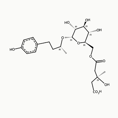 C[C@H](CCc1ccc(O)cc1)O[C@H]1O[C@H](COC(=O)C[C@@](C)(O)CC(=O)O)[C@@H](O)[C@H](O)[C@H]1O